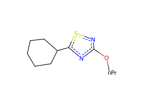 CCCOc1nsc(C2CCCCC2)n1